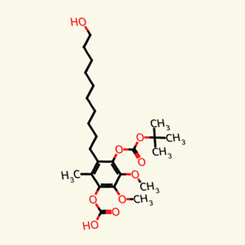 COc1c(OC(=O)O)c(C)c(CCCCCCCCCCO)c(OC(=O)OC(C)(C)C)c1OC